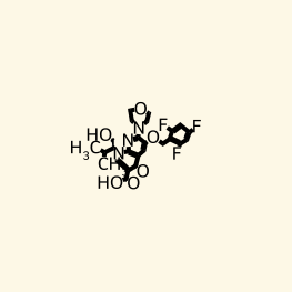 CC(C)[C@@H](CO)n1cc(C(=O)O)c(=O)c2cc(OCc3c(F)cc(F)cc3F)c(N3CCOCC3)nc21